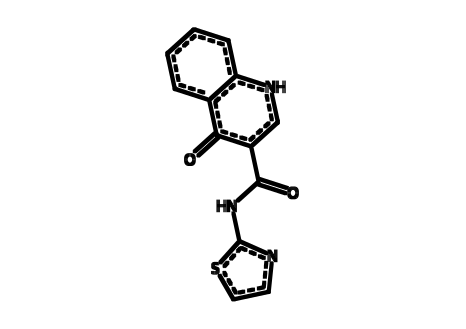 O=C(Nc1nccs1)c1c[nH]c2ccccc2c1=O